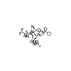 N#CC1(c2nn(-c3nnc(C(F)F)s3)c3cc(S(N)(=O)=O)cc(N4CCN(C(=O)C5CCCC5)CC4)c23)COC1